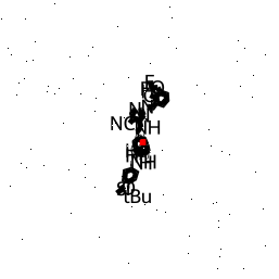 CC(C)(C)[Si](C)(C)O[C@H]1CC[C@H](CN[C@@H]2[C@@H]3CC4C[C@H]2C[C@@](CNc2nc(NCc5cccc6c5OC(F)(F)O6)ncc2C#N)(C4)C3)CC1